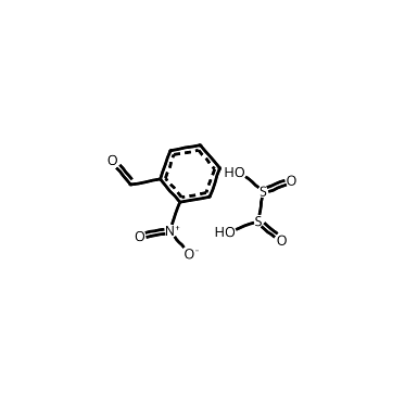 O=Cc1ccccc1[N+](=O)[O-].O=S(O)S(=O)O